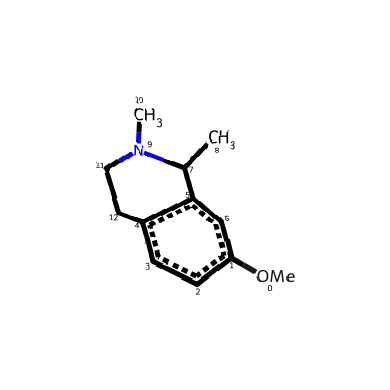 COc1ccc2c(c1)C(C)N(C)CC2